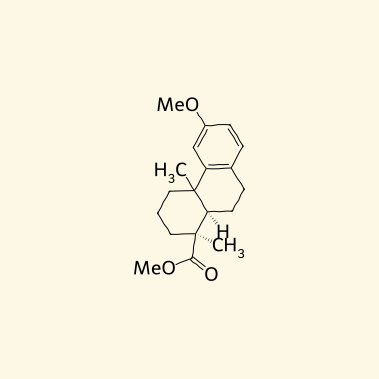 COC(=O)[C@@]1(C)CCCC2(C)c3cc(OC)ccc3CC[C@H]21